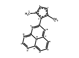 Cc1ccc(C)n1C1=NC2=NC=NC3=CC=CC(=N1)N32